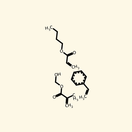 C=C(C)C(=O)OCO.C=CC(=O)OCCCC.C=Cc1ccccc1